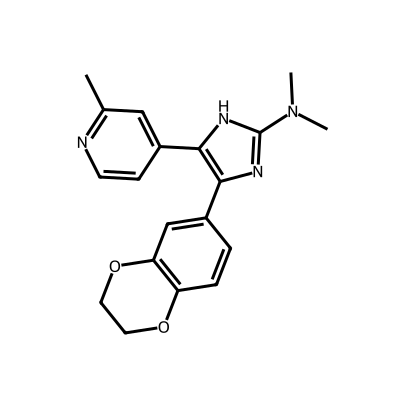 Cc1cc(-c2[nH]c(N(C)C)nc2-c2ccc3c(c2)OCCO3)ccn1